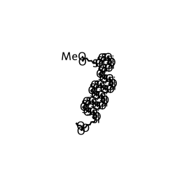 C=COC(=O)OCCCC[Si](C)(C)O[Si](C)(C)O[Si](C)(C)O[Si](C)(C)O[Si](C)(C)O[Si](C)(C)O[Si](C)(C)O[Si](C)(C)O[Si](C)(C)O[Si](C)(C)O[Si](C)(C)O[Si](C)(C)O[Si](C)(C)O[Si](C)(C)O[Si](C)(C)O[Si](C)(C)O[Si](C)(C)O[Si](C)(C)O[Si](C)(C)O[Si](C)(C)O[Si](C)(C)O[Si](C)(C)O[Si](C)(C)O[Si](C)(C)O[Si](C)(C)O[Si](C)(C)O[Si](C)(C)CCCCC(=O)OC